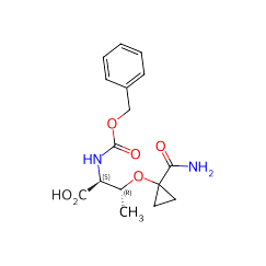 C[C@@H](OC1(C(N)=O)CC1)[C@H](NC(=O)OCc1ccccc1)C(=O)O